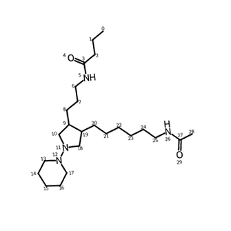 CCCC(=O)NCCCC1CN(N2CCCCC2)CC1CCCCCCNC(C)=O